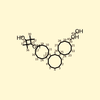 C1CCCCCCCCC1.C1CCCCCCCCC1.C1CCCCCCCCC1.CC1(C)C(O)C(C)(C)C1O.CO.CO